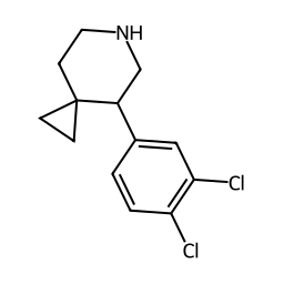 Clc1ccc(C2CNCCC23CC3)cc1Cl